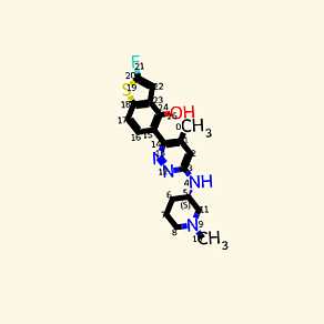 Cc1cc(N[C@H]2CCCN(C)C2)nnc1-c1ccc2sc(F)cc2c1O